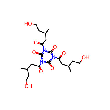 CC(CCO)CC(=O)n1c(=O)n(C(=O)CC(C)CCO)c(=O)n(C(=O)CC(C)CCO)c1=O